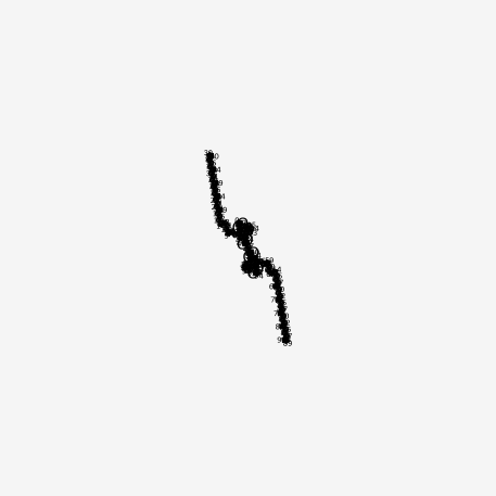 CC(=O)Oc1c(C/C=C(\C)CC/C=C(\C)CC/C=C(\C)CC/C=C(\C)CC/C=C(\C)CC/C=C(\C)CCC=C(C)C)c(C)c(OC(=O)CCC(=O)Oc2c(C)c(C/C=C(\C)CC/C=C(\C)CC/C=C(\C)CC/C=C(\C)CC/C=C(\C)CC/C=C(\C)CCC=C(C)C)c(OC(C)=O)c3ccccc23)c2ccccc12